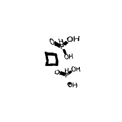 C1CCC1.O=[PH](O)O.O=[PH](O)O